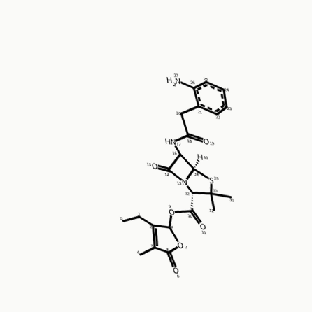 CCC1=C(C)C(=O)OC1OC(=O)[C@@H]1N2C(=O)C(NC(=O)Cc3ccccc3N)[C@H]2SC1(C)C